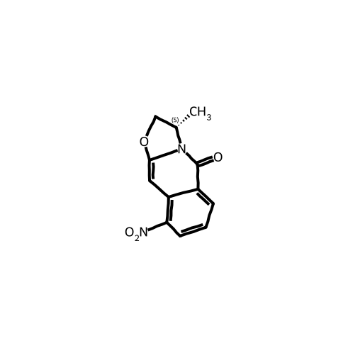 C[C@H]1COc2cc3c([N+](=O)[O-])cccc3c(=O)n21